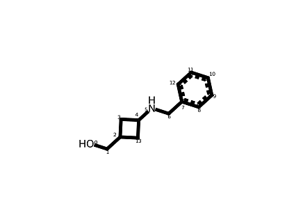 OCC1CC(NCc2ccccc2)C1